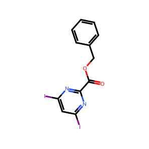 O=C(OCc1ccccc1)c1nc(I)cc(I)n1